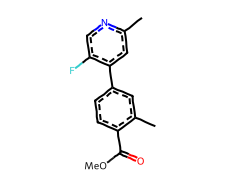 COC(=O)c1ccc(-c2cc(C)ncc2F)cc1C